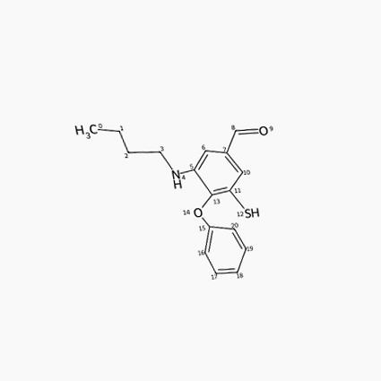 CCCCNc1cc(C=O)cc(S)c1Oc1ccccc1